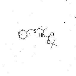 CC(CSCc1ccccc1)NC(=O)OC(C)(C)C